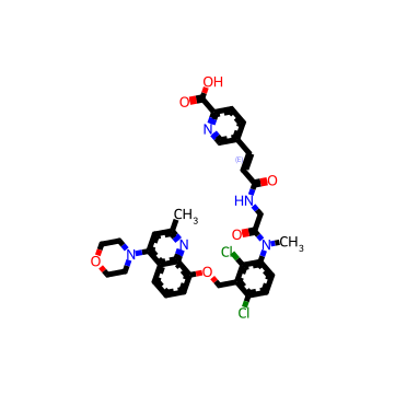 Cc1cc(N2CCOCC2)c2cccc(OCc3c(Cl)ccc(N(C)C(=O)CNC(=O)/C=C/c4ccc(C(=O)O)nc4)c3Cl)c2n1